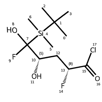 CC(C)(C)[Si](C)(C)C(O)(F)[C@@H](O)C[C@@H](F)C(=O)Cl